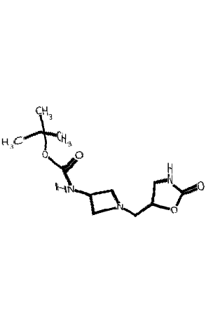 CC(C)(C)OC(=O)NC1CN(CC2CNC(=O)O2)C1